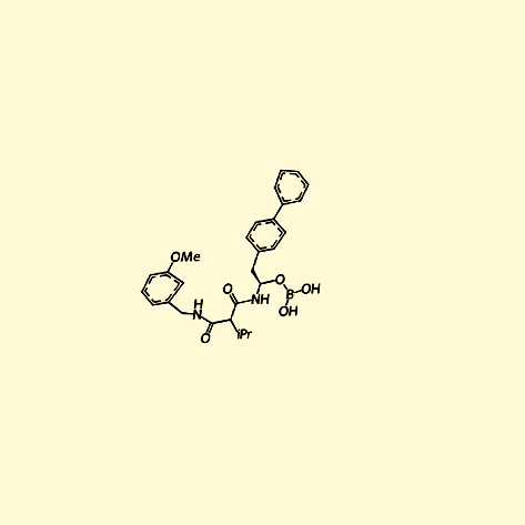 COc1cccc(CNC(=O)C(C(=O)N[C@@H](Cc2ccc(-c3ccccc3)cc2)OB(O)O)C(C)C)c1